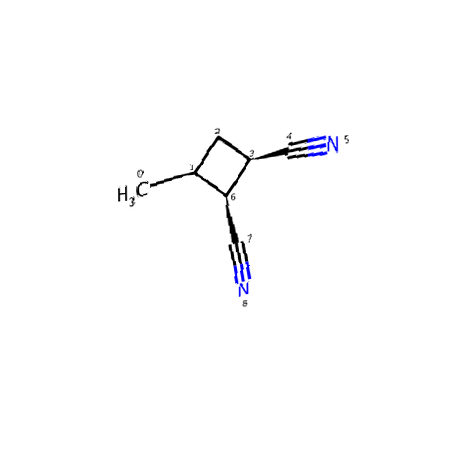 CC1C[C@@H](C#N)[C@H]1C#N